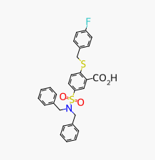 O=C(O)c1cc(S(=O)(=O)N(Cc2ccccc2)Cc2ccccc2)ccc1SCc1ccc(F)cc1